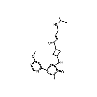 COc1cc(-c2c[nH]c(=O)c(NC3CN(C(=O)C=CCNC(C)C)C3)c2)ncn1